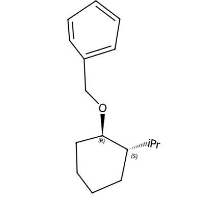 CC(C)[C@@H]1CCCC[C@H]1OCc1ccccc1